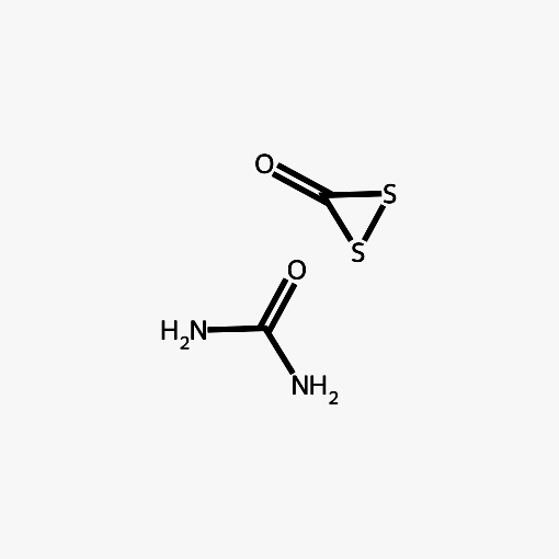 NC(N)=O.O=C1SS1